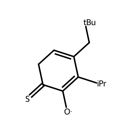 CC(C)C1=C([O])C(=S)CC=C1CC(C)(C)C